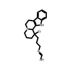 CCCC=NCCCC1(CC)CCCN2CCc3c([nH]c4ccccc34)C21